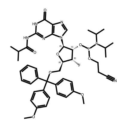 COc1ccc(C(OC[C@H]2O[C@@H](n3cnc4c(=O)[nH]c(NC(=O)C(C)C)nc43)[C@H](OP(OCCC#N)N(C(C)C)C(C)C)[C@@H]2F)(c2ccccc2)c2ccc(OC)cc2)cc1